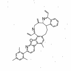 C=CC1=NC2C(=C)C/N=C(/C=C)c3c(cc(C)c4c3oc3nc(-c5c(C)cc(C)cc5C)ccc34)CCC2c2ccccc21